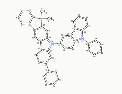 CC1(C)c2ccccc2-c2cc3c4ccc(-c5ccccc5)cc4n(-c4ccc5c(c4)c4ccccc4n5-c4ccccc4)c3cc21